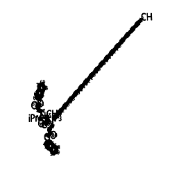 C#CC#CC#CC#CC#CC#CC#CC#CC#CC#CC#CC#CC#CC#CC#CC#CC#CC#CN(CCC(=O)OC1CC2CC1C1C=CCC21)C(=O)C(C)N(CCC(=O)OC1CC2CC1C1C=CCC21)C(=O)C(C)C